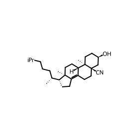 CC(C)CCC[C@@H](C)[C@H]1CCC2=C3CC[C@@]4(C#N)C[C@H](O)CC[C@]4(C)[C@H]3CC[C@@]21C